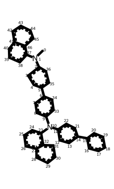 CN(c1ccc(-c2ccc(N(c3ccc(-c4ccccc4)cc3)c3cccc4ccccc34)cc2)cc1)c1cccc2ccccc12